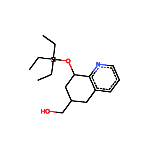 CC[Si](CC)(CC)OC1CC(CO)Cc2cccnc21